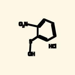 Cl.O=[N+]([O-])c1ccccc1SO